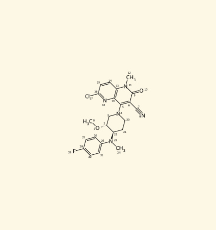 CO[C@@H]1CN(c2c(C#N)c(=O)n(C)c3ccc(Cl)nc23)CC[C@H]1N(C)c1ccc(F)cc1